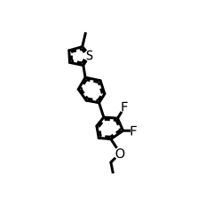 CCOc1ccc(-c2ccc(-c3ccc(C)s3)cc2)c(F)c1F